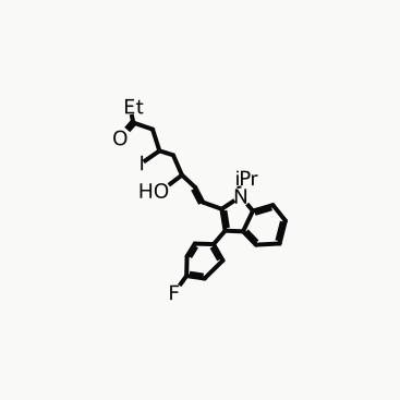 CCC(=O)CC(I)CC(O)/C=C/c1c(-c2ccc(F)cc2)c2ccccc2n1C(C)C